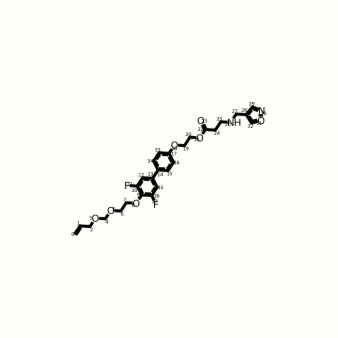 C=CCOCOCCOc1c(F)cc(-c2ccc(OCCOC(=O)CCNCc3cnoc3)cc2)cc1F